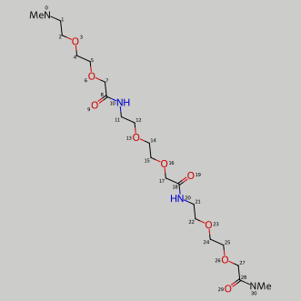 CNCCOCCOCC(=O)NCCOCCOCC(=O)NCCOCCOCC(=O)NC